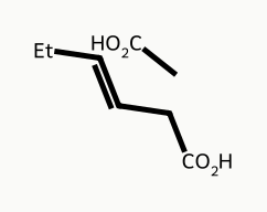 CC(=O)O.CCC=CCC(=O)O